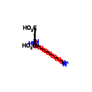 [N-]=[N+]=NCCOCCOCCOCCOCCOCCOCCOCCOCCOCCOCCOCCNC(=O)C[C@H](NC(=O)CCCCCCCCCCCCCCCCC(=O)O)C(=O)O